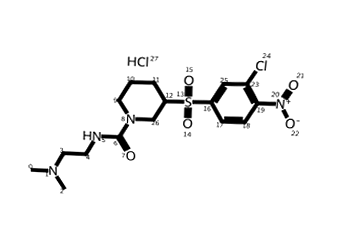 CN(C)CCNC(=O)N1CCCC(S(=O)(=O)c2ccc([N+](=O)[O-])c(Cl)c2)C1.Cl